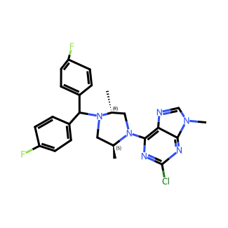 C[C@@H]1CN(c2nc(Cl)nc3c2ncn3C)[C@@H](C)CN1C(c1ccc(F)cc1)c1ccc(F)cc1